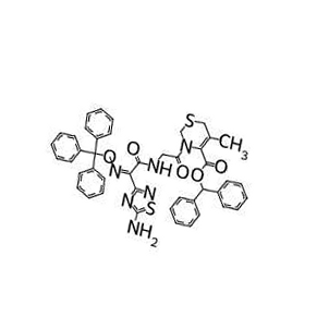 CC1=C(C(=O)OC(c2ccccc2)c2ccccc2)N(C(=O)CNC(=O)/C(=N\OC(c2ccccc2)(c2ccccc2)c2ccccc2)c2nsc(N)n2)CSC1